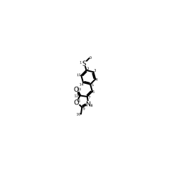 CSc1ccc(C=C2N=C(C)OC2=O)cc1